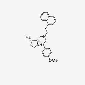 COc1ccc(CCN(CCc2cccc3ccccc23)C[C@@H]2NCC[C@@H]2S)cc1